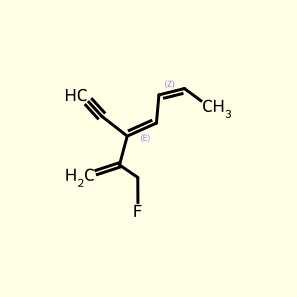 C#C/C(=C\C=C/C)C(=C)CF